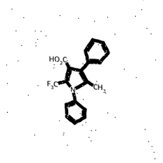 Cc1c(-c2ccccc2)c(C(=O)O)c(C(F)(F)F)n1-c1ccccc1